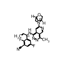 C=C[C@@H](Nc1nnc(C)c2cnc(N3C[C@H]4C[C@@H]3CO4)cc12)c1cc(F)cc(C#N)c1F